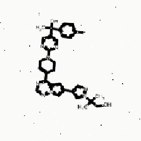 CC(O)(c1ccc(F)cc1)c1cnc(N2CC=C(c3ncnn4cc(-c5cnn(C(C)(C)CO)c5)cc34)CC2)nc1